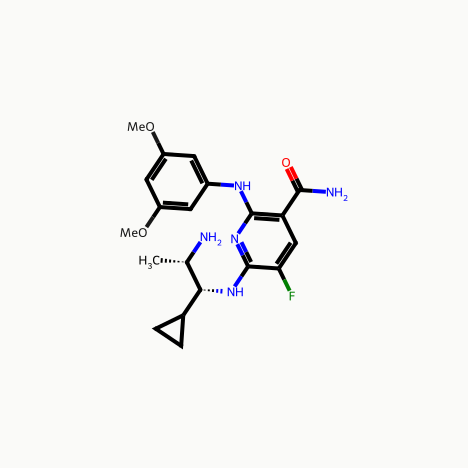 COc1cc(Nc2nc(N[C@H](C3CC3)[C@H](C)N)c(F)cc2C(N)=O)cc(OC)c1